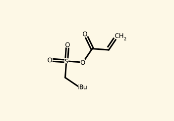 C=CC(=O)OS(=O)(=O)CC(C)CC